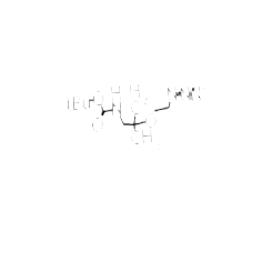 CC(C)(C)OC(=O)NCC(C)(C)OCCN=[N+]=[N-]